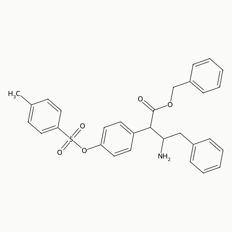 Cc1ccc(S(=O)(=O)Oc2ccc(C(C(=O)OCc3ccccc3)C(N)Cc3ccccc3)cc2)cc1